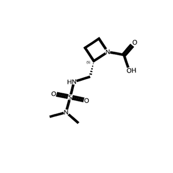 CN(C)S(=O)(=O)NC[C@@H]1CCN1C(=O)O